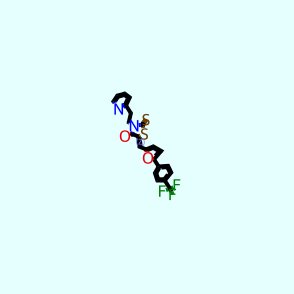 O=C1/C(=C/c2ccc(-c3ccc(C(F)(F)F)cc3)o2)SC(=S)N1CCc1ccccn1